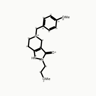 COCCn1[nH]c2c(c1=O)CN(Cc1ccc(OC)cc1)CC2